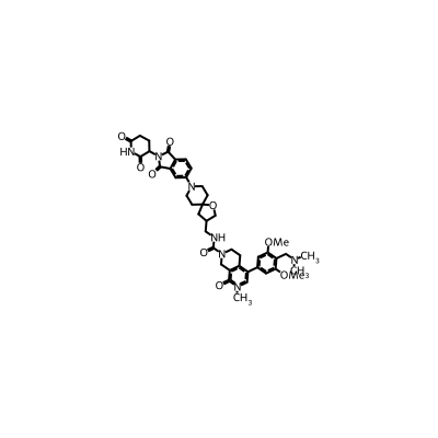 COc1cc(-c2cn(C)c(=O)c3c2CCN(C(=O)NCC2COC4(CCN(c5ccc6c(c5)C(=O)N(C5CCC(=O)NC5=O)C6=O)CC4)C2)C3)cc(OC)c1CN(C)C